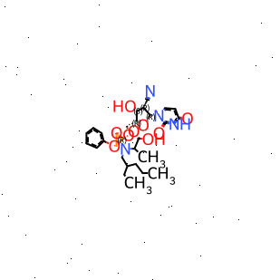 CCCC(CC)CN(C(C)C(=O)O)[P@@](=O)(OC[C@H]1O[C@@H](n2ccc(=O)[nH]c2=O)[C@H](C#N)[C@@H]1O)Oc1ccccc1